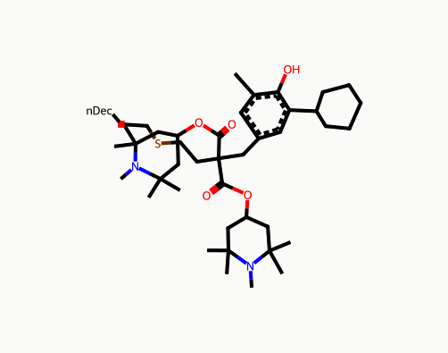 CCCCCCCCCCCCSCCC(Cc1cc(C)c(O)c(C2CCCCC2)c1)(C(=O)OC1CC(C)(C)N(C)C(C)(C)C1)C(=O)OC1CC(C)(C)N(C)C(C)(C)C1